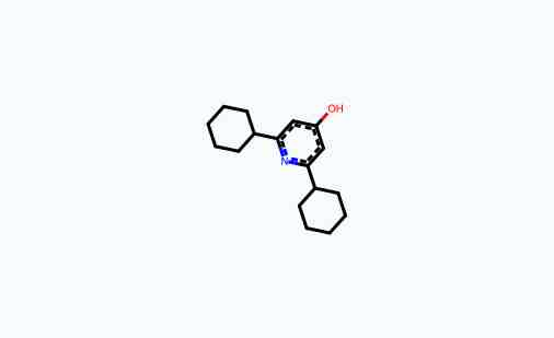 Oc1cc(C2CCCCC2)nc(C2CCCCC2)c1